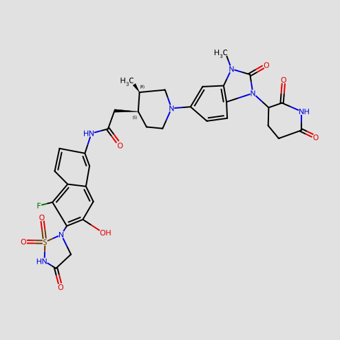 C[C@H]1CN(c2ccc3c(c2)n(C)c(=O)n3C2CCC(=O)NC2=O)CC[C@H]1CC(=O)Nc1ccc2c(F)c(N3CC(=O)NS3(=O)=O)c(O)cc2c1